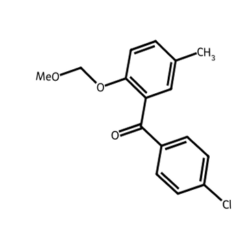 COCOc1ccc(C)cc1C(=O)c1ccc(Cl)cc1